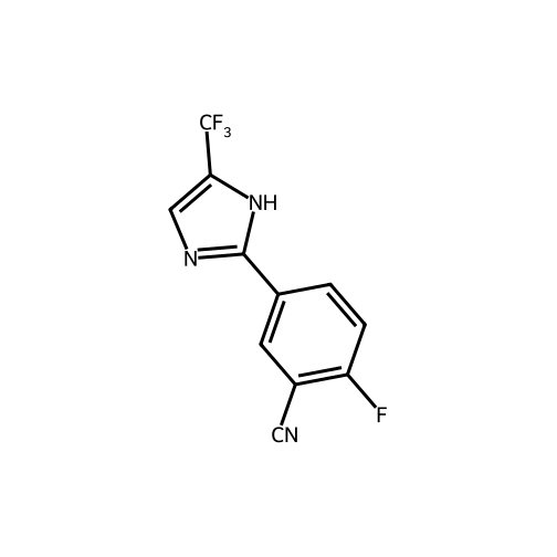 N#Cc1cc(-c2ncc(C(F)(F)F)[nH]2)ccc1F